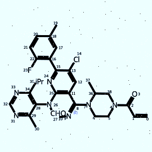 C=CC(=O)N1CCN(/C(=N/C)c2cc(Cl)c(-c3cc(C)ccc3F)nc2N(C=O)c2c(C)ncnc2C(C)C)C(C)C1